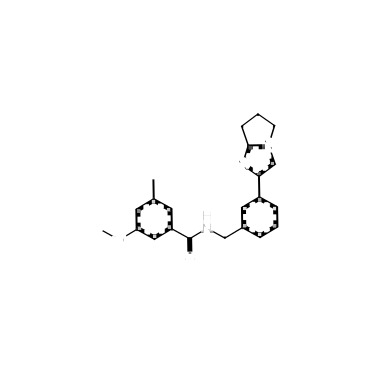 COc1cc(C)cc(C(=O)NCc2cccc(-c3cn4c(n3)CCC4)c2)c1